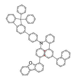 c1ccc(C2(c3ccccc3)c3ccccc3-c3ccc(-c4ccc(N(c5ccc(-c6cccc7c6oc6ccccc67)cc5)c5ccccc5-c5cccc(-c6cccc7ccccc67)c5)cc4)cc32)cc1